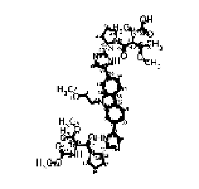 COCCn1c2cc(-c3cnc([C@@H]4CCCN4C(=O)[C@@H](NC(=O)OC)C(C)OC)[nH]3)ccc2c2ccc(-c3cnc([C@@H]4CCCN4C(=O)[C@H]([C@@H](C)OC)N(C)C(=O)O)[nH]3)cc21